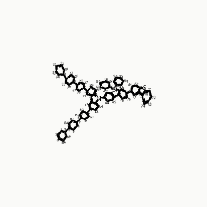 c1ccc(-c2ccc(-c3ccc(-c4ccc5c(c4)c4cc(-c6ccc(-c7ccc(-c8ccccc8)cc7)cc6)ccc4n5-c4ccc5c(c4)[Si](c4ccccc4)(c4ccccc4)c4cc(-c6ccc7sc8ccccc8c7c6)ccc4-5)cc3)cc2)cc1